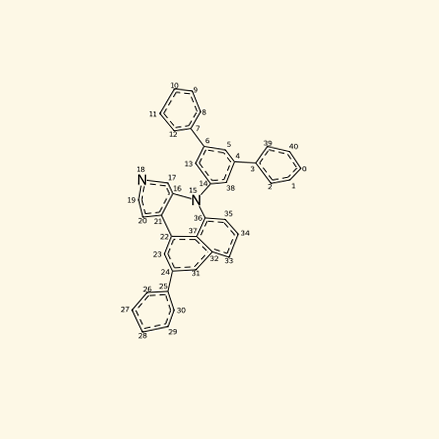 c1ccc(-c2cc(-c3ccccc3)cc(N3c4cnccc4-c4cc(-c5ccccc5)cc5cccc3c45)c2)cc1